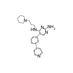 Nc1ncc(-c2cccc(-c3ccncc3)c2)c(NCCCN2CCCCC2)n1